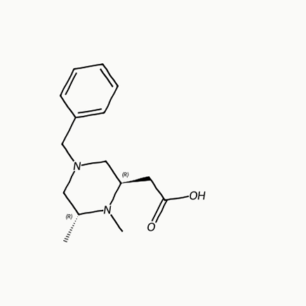 C[C@@H]1CN(Cc2ccccc2)C[C@@H](CC(=O)O)N1C